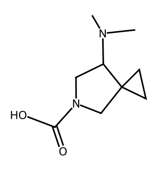 CN(C)C1CN(C(=O)O)CC12CC2